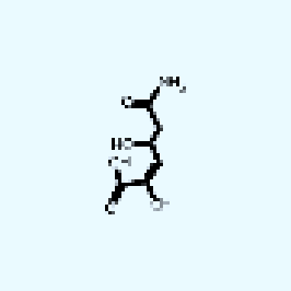 CC(=CC(O)CC(N)=O)C(=O)O